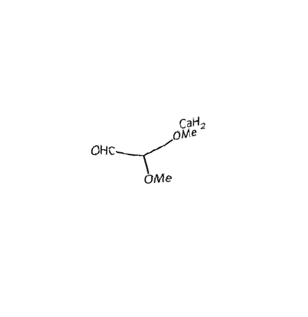 COC(C=O)OC.[CaH2]